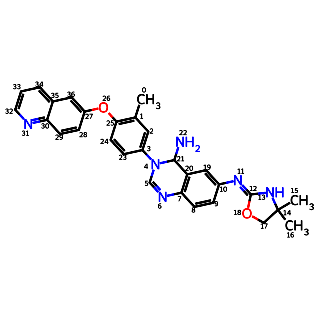 Cc1cc(N2C=Nc3ccc(N=C4NC(C)(C)CO4)cc3C2N)ccc1Oc1ccc2ncccc2c1